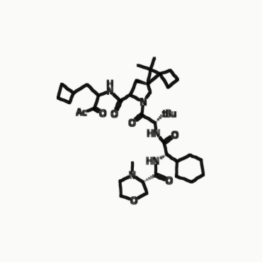 CC(=O)C(=O)C(CC1CCC1)NC(=O)C1C[C@@]2(CN1C(=O)[C@@H](NC(=O)[C@@H](NC(=O)[C@@H]1COCCN1C)C1CCCCC1)C(C)(C)C)C(C)(C)C21CCC1